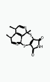 CC1C=NC2(C)SC3=C(SC4(C)N=CC(C)C1=C24)C(=O)NC3=O